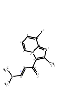 Cc1nc2c(F)cccn2c1C(=O)/C=C/N(C)C